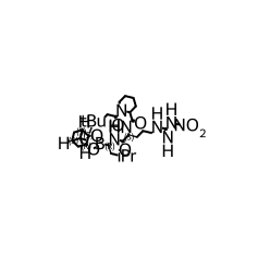 CC(C)C[C@H](NC(=O)[C@H](CCCNC(=N)N[N+](=O)[O-])NC(=O)C1CCCCN1C(=O)CC(C)(C)C)B1O[C@@H]2C[C@@H]3C[C@@H](C3(C)C)[C@]2(C)O1